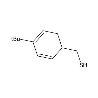 CC(C)(C)C1=CCC(CS)C=C1